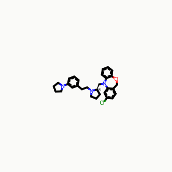 Clc1ccc2c(c1)N(C[C@H]1CCCN1CCc1cccc(N3CCCC3)c1)c1ccccc1OC2